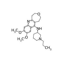 CCCN1CCC[C@@H](Nc2c3c(nc4cc(OC)c(OC)cc24)CCOCC3)C1